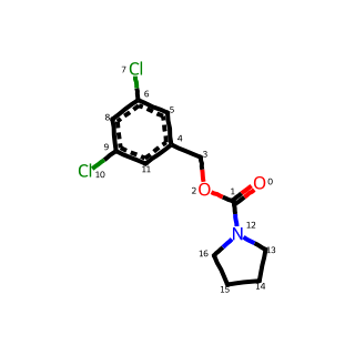 O=C(OCc1cc(Cl)cc(Cl)c1)N1CCCC1